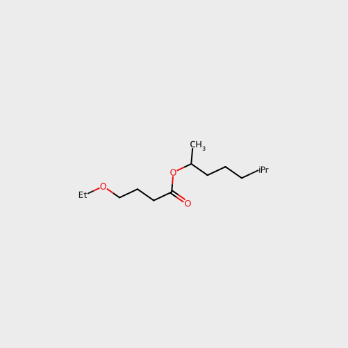 CCOCCCC(=O)OC(C)CCCC(C)C